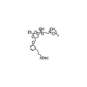 CCCCCCCCCCCCCc1cccc(OCC(COP(O)OCCN(C)C)OC(=O)CC)c1